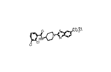 CCOC(=O)c1ccc2nc(N3CCC(NC(=O)c4cccc(Cl)c4Cl)CC3)sc2c1